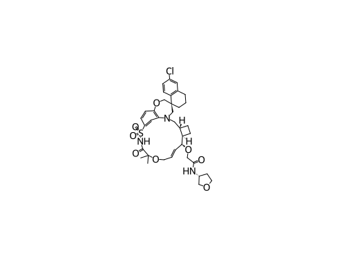 CC1(C)OC/C=C/[C@H](OCC(=O)N[C@@H]2CCOC2)[C@@H]2CC[C@H]2CN2C[C@@]3(CCCc4cc(Cl)ccc43)COc3ccc(cc32)S(=O)(=O)NC1=O